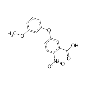 COc1cccc(Oc2ccc([N+](=O)[O-])c(C(=O)O)c2)c1